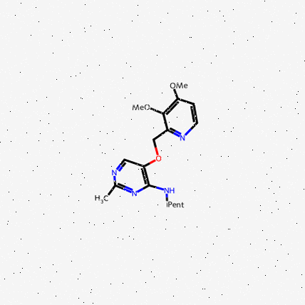 CCCC(C)Nc1nc(C)ncc1OCc1nccc(OC)c1OC